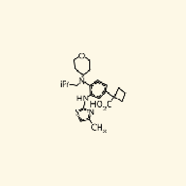 Cc1csc(Nc2cc(C3(C(=O)O)CCC3)ccc2N(CC(C)C)C2CCOCC2)n1